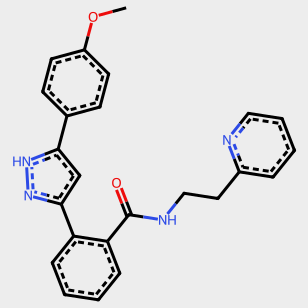 COc1ccc(-c2cc(-c3ccccc3C(=O)NCCc3ccccn3)n[nH]2)cc1